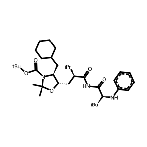 CC[C@H](C)[C@H](Nc1ccccc1)C(=O)NC(=O)[C@@H](C[C@@H]1OC(C)(C)N(C(=O)OC(C)(C)C)[C@H]1CC1CCCCC1)C(C)C